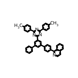 Cc1ccc(-c2nc(-c3ccc(C)cc3)nc(-c3cc(-c4ccccc4)cc(-c4ccc(-c5nccc6ccccc56)cc4)c3)n2)cc1